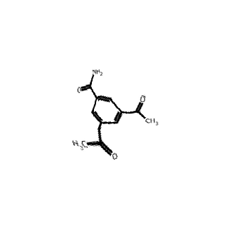 CC(=O)c1cc(C(C)=O)cc(C(N)=O)c1